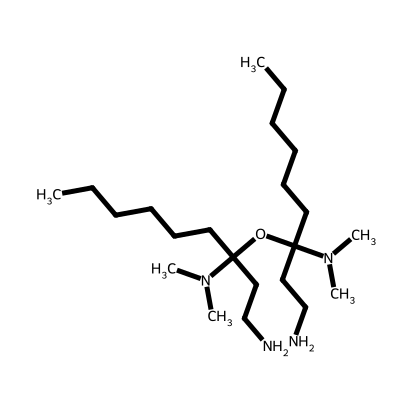 CCCCCCC(CCN)(OC(CCN)(CCCCCC)N(C)C)N(C)C